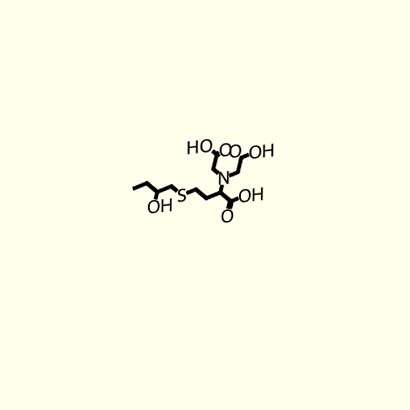 CCC(O)CSCCC(C(=O)O)N(CC(=O)O)CC(=O)O